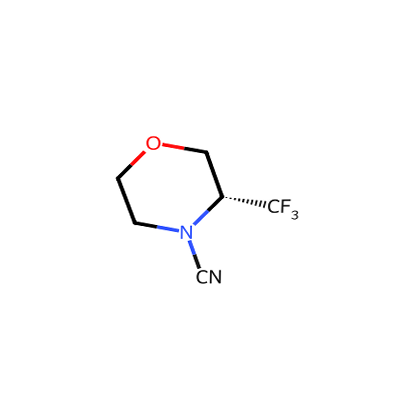 N#CN1CCOC[C@@H]1C(F)(F)F